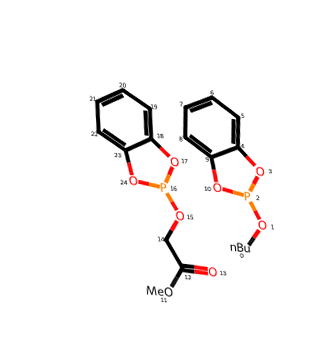 CCCCOP1Oc2ccccc2O1.COC(=O)COP1Oc2ccccc2O1